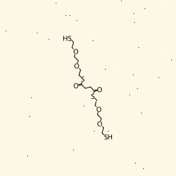 O=C(CCC(=O)SCCOCCOCCS)SCCOCCOCCS